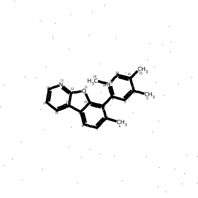 Cc1cc(-c2c(C)ccc3c2oc2ncccc23)[n+](C)cc1C